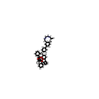 C=C1/C=C\C=C/Cc2cc(-c3ccc(N(c4ccc5c(c4)C4(c6ccccc6Oc6ccccc64)c4ccccc4-5)c4ccccc4-c4ccccc4)cc3)ccc2S1